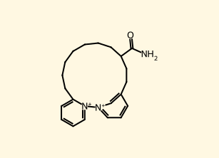 NC(=O)C1CCCCCCCc2cccc[n+]2-[n+]2cccc(c2)CC1